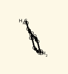 C=CC(=O)OCCCCCCCCCCOc1ccc2cc(C(=O)Oc3ccc(OC(=O)c4ccc5cc(OCCCCCCOC(=O)C=C)ccc5c4)cc3C(=O)OCCCCCCCCCCOc3ccc(-c4ccc(C#N)cc4)cc3)ccc2c1